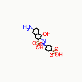 Nc1ccc2c(O)c(N=Nc3ccc(S(=O)(=O)O)cc3)c(S(=O)(=O)O)cc2c1